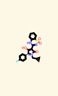 O=C1C(C2=NS(=O)(=O)c3ccccc3N2)=C(O)[C@H](c2ccc(F)cc2)N1CC1CC1